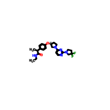 CCNC(=O)C(C)c1ccc(O[C@@H]2CCN(c3ccnc(N4CCC(F)(F)C4)n3)C2)cc1